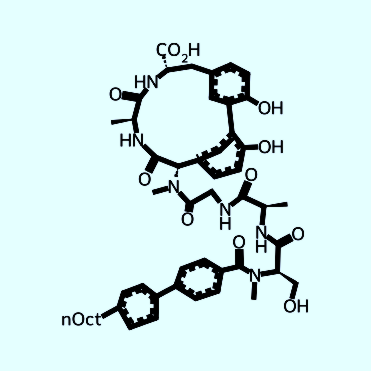 CCCCCCCCc1ccc(-c2ccc(C(=O)N(C)[C@H](CO)C(=O)N[C@H](C)C(=O)NCC(=O)N(C)[C@@H]3C(=O)N[C@@H](C)C(=O)N[C@H](C(=O)O)Cc4ccc(O)c(c4)-c4cc3ccc4O)cc2)cc1